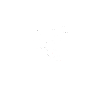 CCC[CH2][Sn]([CH2]CCC)([CH2]CCC)[c]1ccc2c(c1)C[C@]13CCC4(CC(C)(C)COO4)C[C@]1(O)CC[C@H]1[C@@H]4CCC(=O)[C@@]4(C)C[C@H]2[C@@]13O